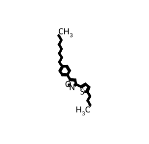 CCCCCCCCc1ccc(-c2cc(-c3ccc(CCCC)s3)no2)cc1